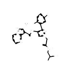 COc1ccc(Cl)cc1-c1nn(CC(=O)NCC(C)O)cc1NC(=O)c1cnn2cccnc12